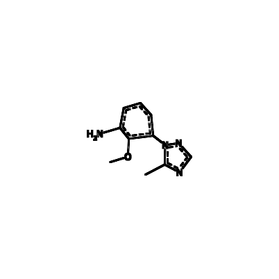 COc1c(N)cccc1-n1ncnc1C